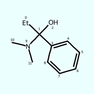 CCC(O)(c1ccccc1)N(C)C